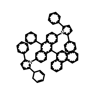 C1=CCC(c2ccc(-c3ccccc3)n2-c2ccc3c(-c4cc5ccccc5c5ccccc45)c4cc(-n5c(-c6ccccc6)ccc5-c5ccccc5)ccc4c(-c4ccccc4)c3c2)C=C1